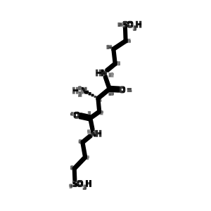 N[C@@H](CC(=O)NCCCS(=O)(=O)O)C(=O)NCCCS(=O)(=O)O